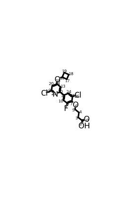 O=C(O)CCCOc1c(F)cc(-c2cc(OC3CCC3)cc(Cl)n2)cc1Cl